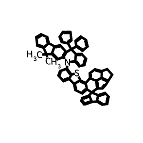 CC1(C)c2ccccc2-c2cc3c(cc21)N(c1cccc2c1sc1c4c(ccc12)C1(c2ccccc2-c2ccccc21)c1ccc2c5c(ccc-4c15)CC2)c1ccccc1C3(c1ccccc1)c1ccccc1